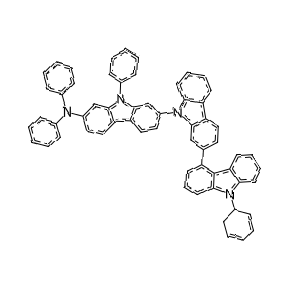 C1=CCC(n2c3ccccc3c3c(-c4ccc5c6ccccc6n(-c6ccc7c8ccc(N(c9ccccc9)c9ccccc9)cc8n(-c8ccccc8)c7c6)c5c4)cccc32)C=C1